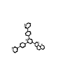 c1cncc(-c2ccc(-c3cc(-c4cnc5c(ccc6cccnc65)c4)cc(-c4ccc(-c5cccnc5)cc4)n3)cc2)c1